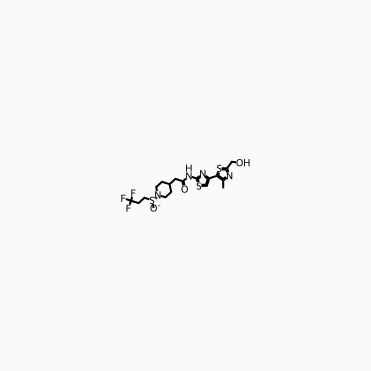 Cc1nc(CO)sc1-c1csc(NC(=O)CC2CCN([S+]([O-])CCC(F)(F)F)CC2)n1